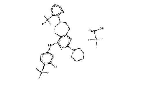 FC(F)(F)c1ccc(Nc2nc(N3CCCCC3)nc3c2CCN(c2ncccc2C(F)(F)F)CC3)cc1Cl.O=C(O)C(F)(F)F